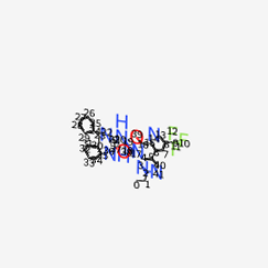 CCc1ncc(-c2cc(C(F)(F)F)cnc2-c2nnc(N[C@H]3N=C(c4ccccc4)c4ccccc4NC3=O)o2)cn1